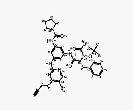 C#CCOc1nc(Nc2cc(NC(=O)[C@@H](Cc3ccccc3)N(OC(C)(C)C)C(=O)O)cc(NC(=O)N3CCCC3)c2)ncc1Br